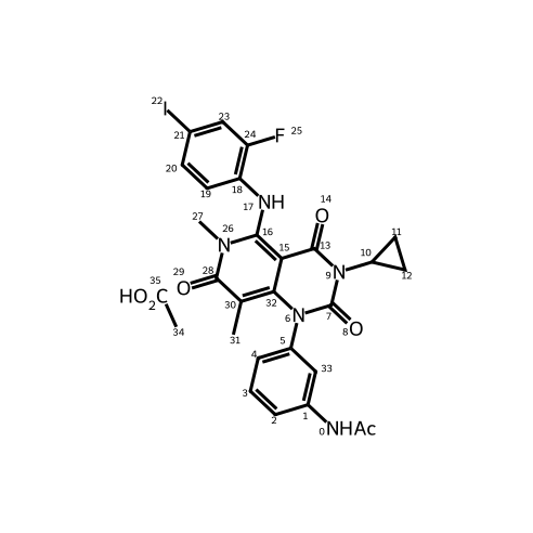 CC(=O)Nc1cccc(-n2c(=O)n(C3CC3)c(=O)c3c(Nc4ccc(I)cc4F)n(C)c(=O)c(C)c32)c1.CC(=O)O